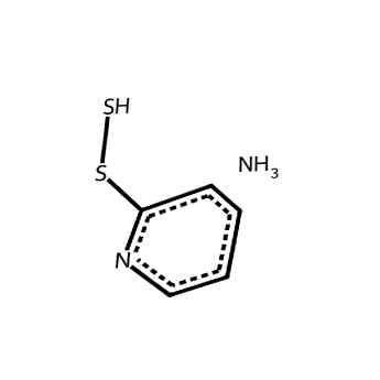 N.SSc1ccccn1